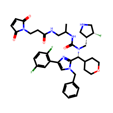 CC(CNC(=O)CCN1C(=O)C=CC1=O)NC(=O)N(C[C@@H]1CNC[C@@H]1F)[C@@H](c1nc(-c2cc(F)ccc2F)cn1Cc1ccccc1)C1CCOCC1